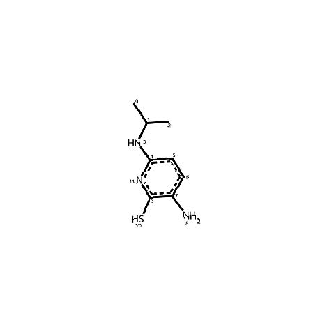 CC(C)Nc1ccc(N)c(S)n1